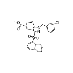 COC(=O)c1ccc2c(c1)c(S(=O)(=O)c1cccc3ccccc13)nn2Cc1cccc(Cl)c1